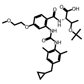 COCCOc1ccc(C(=O)N[C@H](C(=O)O)C(C)OC(C)(C)C)c(NC(=O)Nc2c(C)cc(CC3CC3)cc2C)c1